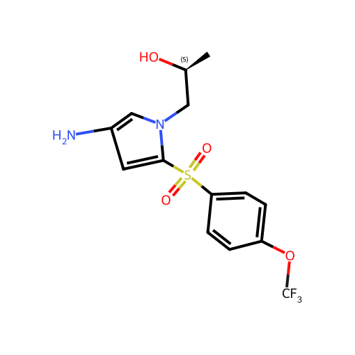 C[C@H](O)Cn1cc(N)cc1S(=O)(=O)c1ccc(OC(F)(F)F)cc1